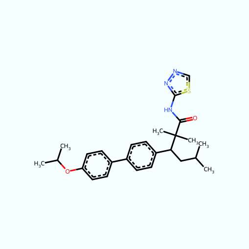 CC(C)CC(c1ccc(-c2ccc(OC(C)C)cc2)cc1)C(C)(C)C(=O)Nc1nncs1